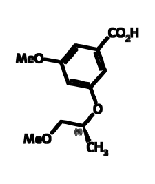 COC[C@H](C)Oc1cc(OC)cc(C(=O)O)c1